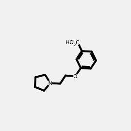 O=C(O)c1cccc(OCCN2CCCC2)c1